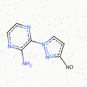 Nc1nccnc1-n1ccc(N=O)n1